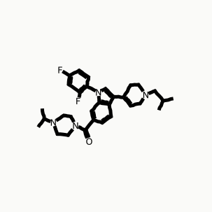 CC(C)CN1CC=C(c2cn(-c3ccc(F)cc3F)c3cc(C(=O)N4CCN(C(C)C)CC4)ccc23)CC1